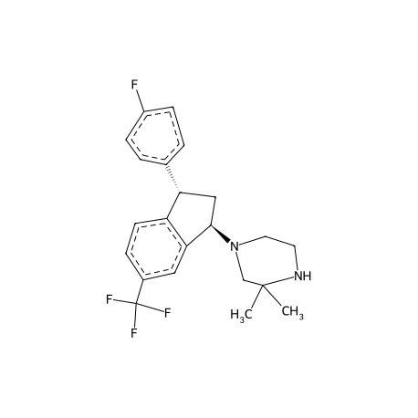 CC1(C)CN([C@@H]2C[C@@H](c3ccc(F)cc3)c3ccc(C(F)(F)F)cc32)CCN1